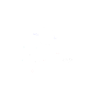 CCOC(=O)OC[N+]1(C)CCNCC1.O=C([O-])C(F)(F)F